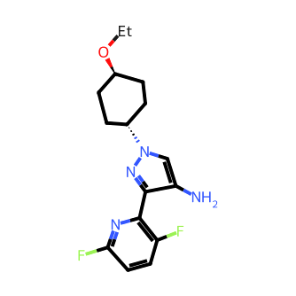 CCO[C@H]1CC[C@H](n2cc(N)c(-c3nc(F)ccc3F)n2)CC1